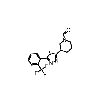 O=CN1CCCC(c2nnc(-c3ccccc3C(F)(F)F)s2)C1